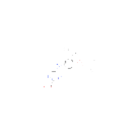 CCN(c1ccc(OCC(C)C)c(C(C)C)c1)c1cnc(C(=O)O)cn1